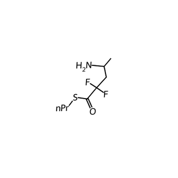 CCCSC(=O)C(F)(F)CC(C)N